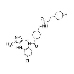 Cn1ncc2c1Nc1cc(Cl)ccc1N(C(=O)C1CCC(CNC(=O)CCC3CCNCC3)CC1)C2